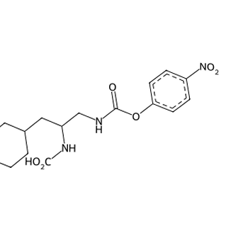 O=C(O)NC(CNC(=O)Oc1ccc([N+](=O)[O-])cc1)CC1CCCCC1